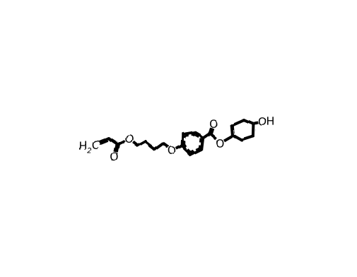 C=CC(=O)OCCCCOc1ccc(C(=O)OC2CCC(O)CC2)cc1